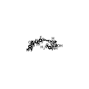 C[C@H](NC(=O)[C@@H]1C[C@@H](O)CN1C(=O)[C@@H](NC(=O)COCCCCOc1c(F)cc(-c2ncc(N3C(=S)N(c4ccc(C#N)c(C(F)(F)F)c4F)C(=O)C3(C)C)cc2C(F)(F)F)cc1F)C(C)(C)C)c1ccc(C(N)=O)cc1